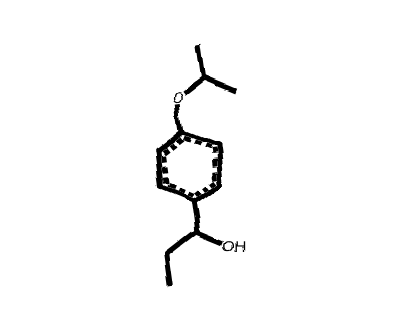 CCC(O)c1ccc(OC(C)C)cc1